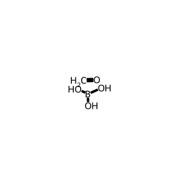 C=O.OB(O)O